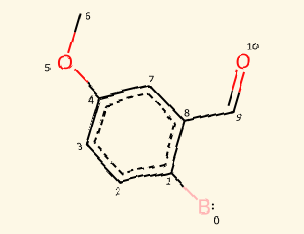 [B]c1ccc(OC)cc1C=O